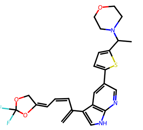 C=C(/C=C\C=C1/COC(F)(F)O1)c1c[nH]c2ncc(-c3ccc(C(C)N4CCOCC4)s3)cc12